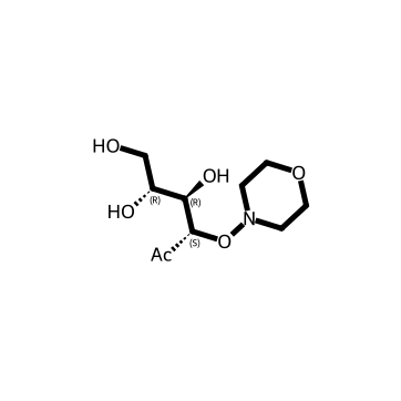 CC(=O)[C@@H](ON1CCOCC1)[C@H](O)[C@H](O)CO